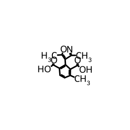 Cc1ccc(C(=O)O)c(-c2c(C)noc2C)c1C(=O)O